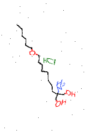 CCCCCCOCCCCCCCCC(N)(CO)CO.Cl